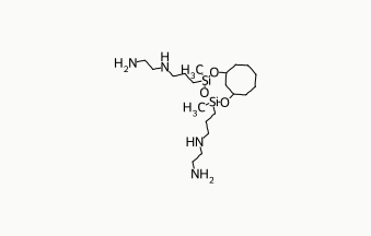 C[Si]1(CCCNCCN)OC2CCCCCC(C2)O[Si](C)(CCCNCCN)O1